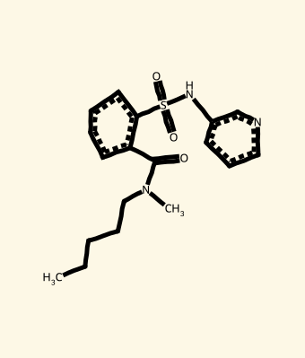 CCCCCN(C)C(=O)c1ccccc1S(=O)(=O)Nc1cccnc1